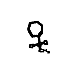 C[Si](Cl)(Cl)C1=CCCCCC1